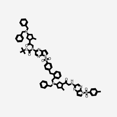 Cc1ccc(S(=O)(=O)n2ccc3nc(NCC(=O)C4CC(N(Cc5ccccc5)Cc5ccccc5Cc5ccc(S(=O)(=O)n6ccc7nc(N(CC(=O)C8CC(N(Cc9ccccc9)Cc9ccccc9)CC8C)C(=O)OC(C)(C)C)cnc76)cc5)CC4C)cnc32)cc1